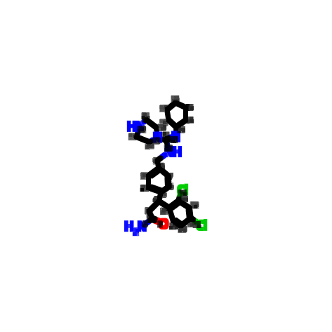 NC(=O)CC(c1ccc(CN/C(=N/C2CCCCC2)N2CCNCC2)cc1)c1ccc(Cl)cc1Cl